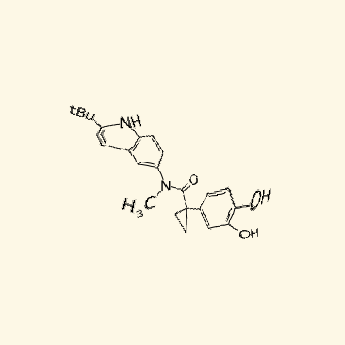 CN(C(=O)C1(c2ccc(O)c(O)c2)CC1)c1ccc2[nH]c(C(C)(C)C)cc2c1